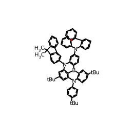 CC(C)(C)c1ccc(N2c3ccc(C(C)(C)C)cc3B3c4ccc(N(c5ccccc5)c5ccccc5-c5ccccc5)cc4N(c4ccc5c(c4)-c4ccccc4C5(C)C)c4cc(C(C)(C)C)cc2c43)cc1